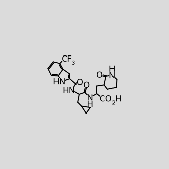 O=C(NC(CC1CC1)C(=O)NC(CC1CCCNC1=O)C(=O)O)c1cc2c(C(F)(F)F)cccc2[nH]1